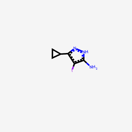 Nc1[nH]nc(C2CC2)c1I